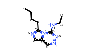 CCCCc1ncc2cnnc(NCC)n12